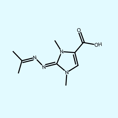 CC(C)=NN=c1n(C)cc(C(=O)O)n1C